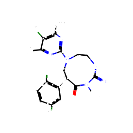 COc1nc(N2CCNC(=N)N(C)C(=O)[C@@H](c3cc(Cl)ccc3F)C2)nc(C)c1F